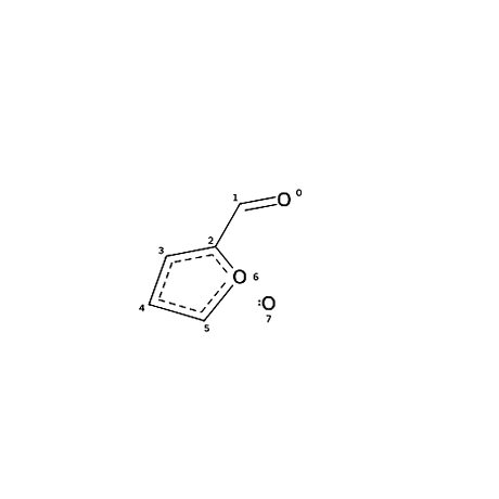 O=Cc1ccco1.[O]